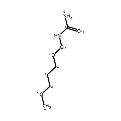 COCCCOONC(N)=O